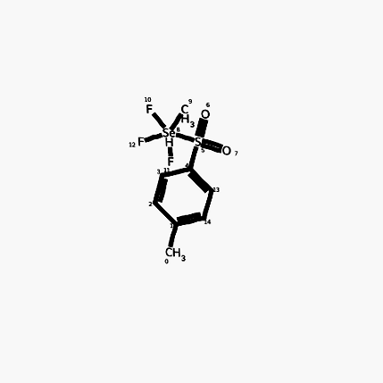 Cc1ccc(S(=O)(=O)[SeH](C)(F)(F)F)cc1